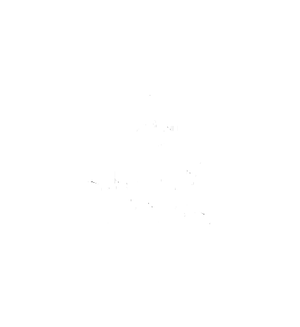 CC1C[C@@H](C)NC(=O)C1CNC(=O)C1C[C@H](Cl)CC(N(C)CCCNC(=O)OC(C)(C)C)C1C